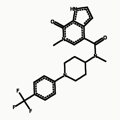 CN(C(=O)c1cn(C)c(=O)c2[nH]ccc12)C1CCN(c2ccc(C(F)(F)F)cc2)CC1